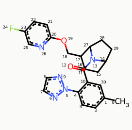 Cc1ccc(-n2nccn2)c(C(=O)N2C3CCC(COc4ccc(F)cn4)C2CC3)c1